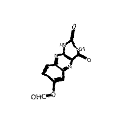 O=COc1ccc2nc3[nH]c(=O)[nH]c(=O)c3nc2c1